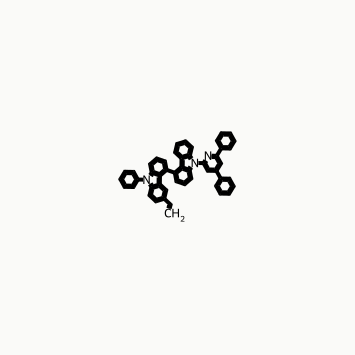 C=Cc1ccc2c(c1)c1c(-c3cccc4c3c3ccccc3n4-c3cc(-c4ccccc4)cc(-c4ccccc4)n3)cccc1n2-c1ccccc1